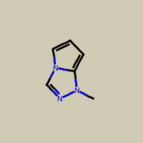 Cn1ncn2cccc12